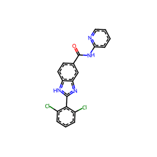 O=C(Nc1ccccn1)c1ccc2[nH]c(-c3c(Cl)cccc3Cl)nc2c1